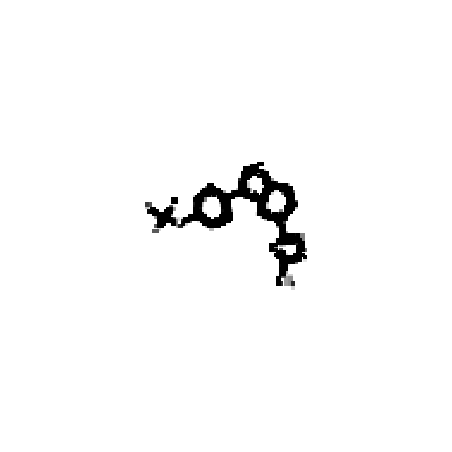 Cc1nnc(-c2ccc3occ(-c4ccc(OC(F)(F)F)cc4)c3c2)o1